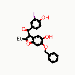 CCc1oc2cc(OCc3ccccc3)c(O)cc2c1C(=O)c1ccc(O)c(I)c1